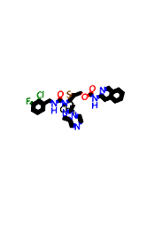 CN(C(=O)NCc1cccc(F)c1Cl)[C@@]1(Cc2ncc3cnccn23)SC1COC(=O)Nc1cc2ccccc2cn1